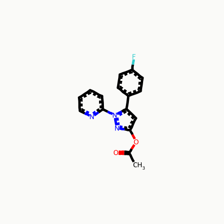 CC(=O)Oc1cc(-c2ccc(F)cc2)n(-c2ccccn2)n1